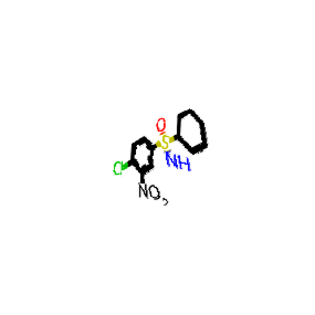 N=S(=O)(c1ccc(Cl)c([N+](=O)[O-])c1)C1CCCCC1